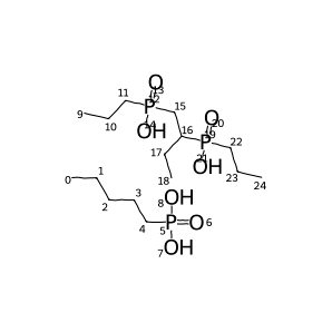 CCCCCP(=O)(O)O.CCCP(=O)(O)CC(CC)P(=O)(O)CCC